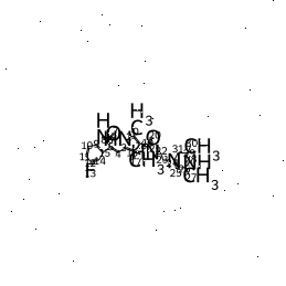 Cc1[nH]c(/C=C2\C(=O)Nc3ccc(F)cc32)c(C)c1C(=O)NCCN1CC(C)NC(C)C1